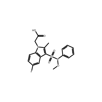 CON(c1ccccc1)S(=O)(=O)c1c(C)n(CC(=O)O)c2ccc(F)cc12